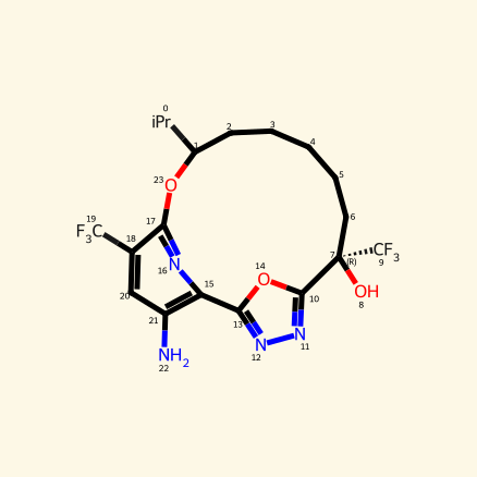 CC(C)C1CCCCC[C@](O)(C(F)(F)F)c2nnc(o2)-c2nc(c(C(F)(F)F)cc2N)O1